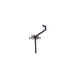 CCC/C=C\C/C=C\CCCCCCCCCC(=O)N[C@@H](CO)C(O)CCCCCCCCCCCCCCC